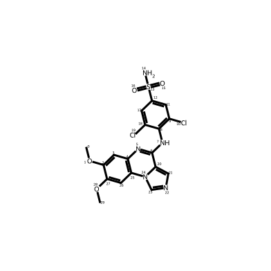 COc1cc2nc(Nc3c(Cl)cc(S(N)(=O)=O)cc3Cl)c3cncn3c2cc1OC